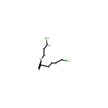 C=C(CCCCF)CCCCF